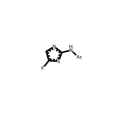 CC(=O)Nc1ncc(F)s1